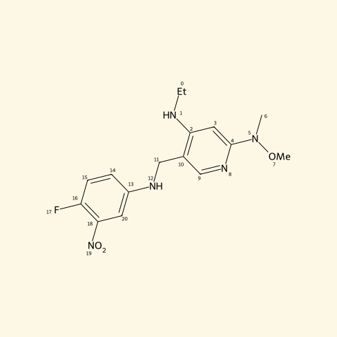 CCNc1cc(N(C)OC)ncc1CNc1ccc(F)c([N+](=O)[O-])c1